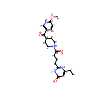 CCc1cc(=O)[nH]c(CCCC(=O)N2CCC(C(=O)c3ccc(OC)nc3)CC2)n1